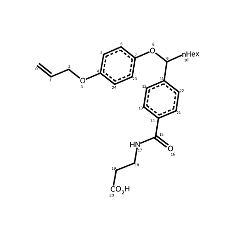 C=CCOc1ccc(OC(CCCCCC)c2ccc(C(=O)NCCC(=O)O)cc2)cc1